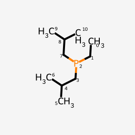 CCP(CC(C)C)CC(C)C